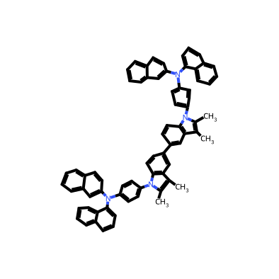 Cc1c(C)n(-c2ccc(N(c3ccc4ccccc4c3)c3cccc4ccccc34)cc2)c2ccc(-c3ccc4c(c3)c(C)c(C)n4-c3ccc(N(c4ccc5ccccc5c4)c4cccc5ccccc45)cc3)cc12